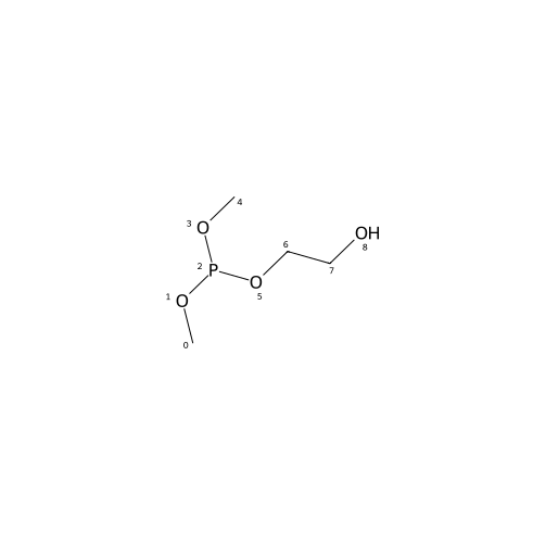 COP(OC)OCCO